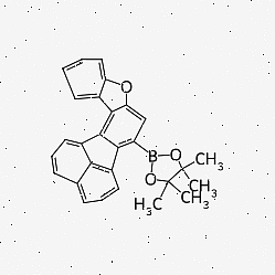 CC1(C)OB(c2cc3oc4ccccc4c3c3c2-c2cccc4cccc-3c24)OC1(C)C